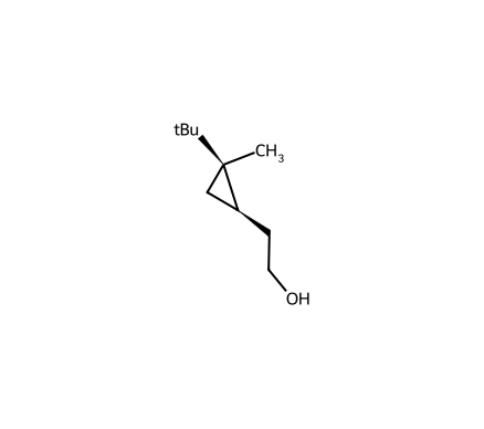 CC(C)(C)[C@]1(C)C[C@@H]1CCO